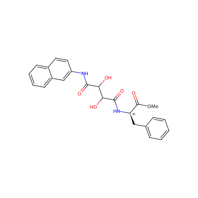 COC(=O)[C@@H](Cc1ccccc1)NC(=O)C(O)C(O)C(=O)Nc1ccc2ccccc2c1